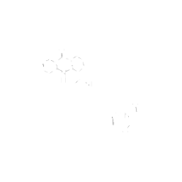 O=C(CCCCCNC(=O)c1cccc2c(=O)c3ccccc3[nH]c12)ON1C(=O)CCC1=O